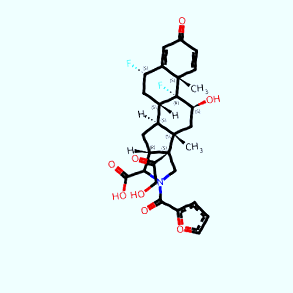 C[C@]12C=CC(=O)C=C1[C@@H](F)C[C@H]1[C@@H]3C[C@H]4C(C(=O)O)N(C(=O)c5ccco5)C[C@@]4(C(=O)CO)[C@@]3(C)C[C@H](O)[C@@]12F